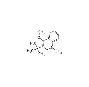 COC1=C(C(C)(C)C)CN(C)c2ccccc21